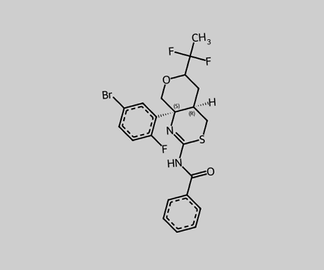 CC(F)(F)C1C[C@H]2CSC(NC(=O)c3ccccc3)=N[C@@]2(c2cc(Br)ccc2F)CO1